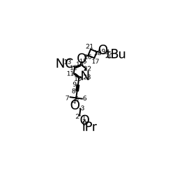 CC(C)OCCOC(C)(C)C#Cc1cc(C#N)c(OC2CC(OC(C)(C)C)C2)cn1